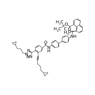 CC(C)(C)OC(=O)c1cccc2cccc(C(=O)Nc3ccc(-c4ccc(NC(=O)c5ccc(-c6nnn(CCCC7CC7)n6)c(C#CCCCC6CC6)c5)cc4)cc3)c12